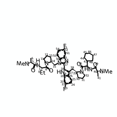 CC[C@H](NC(=O)[C@H](C)NC)C(=O)N1CCC[C@H]1Cn1c(-c2[nH]c3cc(F)ccc3c2C[C@@H]2CCCN2C(=O)C(NC(=O)[C@H](C)NC)C2CCCCC2)nc2cc(F)ccc21